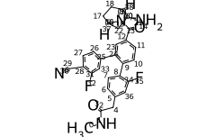 CNC(=O)Cc1ccc(-c2ccc(C(=O)N3[C@@H]4CC[C@H]3[C@@H](N)C4)cc2-c2ccc(C#N)c(F)c2)c(F)c1